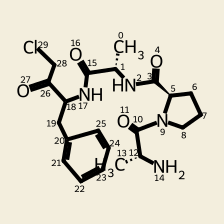 C[C@H](NC(=O)[C@H]1CCCN1C(=O)[C@@H](C)N)C(=O)NC(Cc1ccccc1)C(=O)CCl